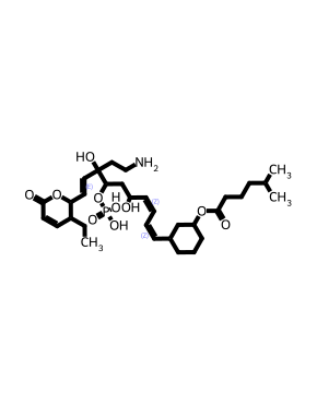 CCC1C=CC(=O)OC1/C=C/C(O)(CCN)C(CC(O)/C=C\C=C/C1CCCC(OC(=O)CCCC(C)C)C1)OP(=O)(O)O